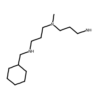 CN(CCC[NH])CCCNCC1CCCCC1